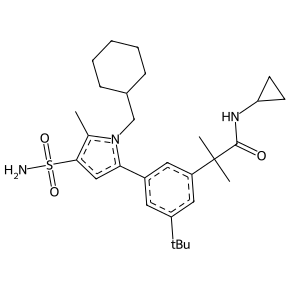 Cc1c(S(N)(=O)=O)cc(-c2cc(C(C)(C)C)cc(C(C)(C)C(=O)NC3CC3)c2)n1CC1CCCCC1